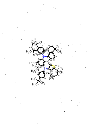 Cc1cc2c3c(c1)N(c1ccc(C(C)(C)C)cc1[Si](C)(C)C)c1c(sc4c1C(C)(C)CCC4(C)C)B3c1ccc3c(c1N2c1ccc2c(c1)C(C)(C)CCC2(C)C)C(C)(C)CCC3(C)C